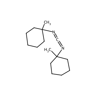 CC1(N=C=NC2(C)CCCCC2)CCCCC1